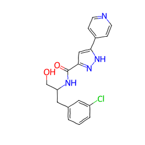 O=C(NC(CO)Cc1cccc(Cl)c1)c1cc(-c2ccncc2)[nH]n1